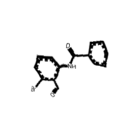 O=Cc1c(Br)cccc1NC(=O)c1ccccc1